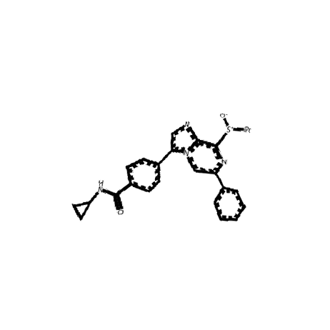 CC(C)[S+]([O-])c1nc(-c2ccccc2)cn2c(-c3ccc(C(=O)NC4CC4)cc3)cnc12